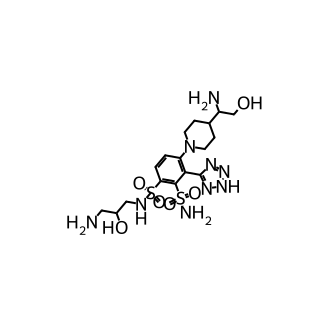 NCC(O)CNS(=O)(=O)c1ccc(N2CCC(C(N)CO)CC2)c(-c2nn[nH]n2)c1S(N)(=O)=O